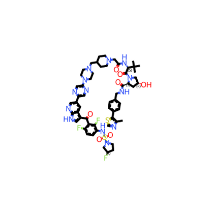 Cc1ncsc1-c1ccc(CNC(=O)[C@@H]2C[C@@H](O)CN2C(=O)[C@@H](NC(=O)CN2CCC(CN3CCN(c4cnc(-c5cnc6[nH]cc(C(=O)c7c(F)ccc(NS(=O)(=O)N8CC[C@@H](F)C8)c7F)c6c5)cn4)CC3)CC2)C(C)(C)C)cc1